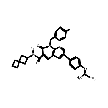 [2H]N(C(=O)c1cc2cc(-c3ccc(OC(C)C)cc3)cnc2n(Cc2ccc(F)cc2)c1=O)C1CC2(CCC2)C1